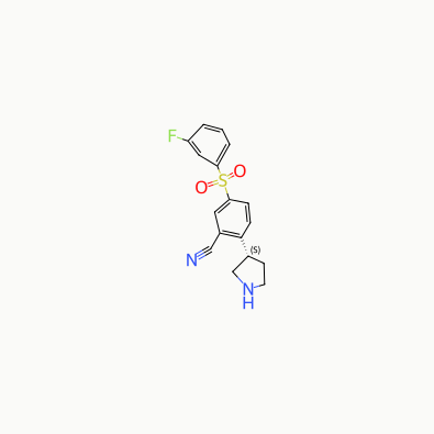 N#Cc1cc(S(=O)(=O)c2cccc(F)c2)ccc1[C@@H]1CCNC1